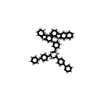 c1ccc(-c2ccc(C3=NC(c4ccc(-n5c6ccccc6c6cc7ccccc7cc65)c(-c5ccc6c(c5)sc5ccccc56)c4)=NC(c4ccc(-c5ccccc5)cc4)N3)cc2)cc1